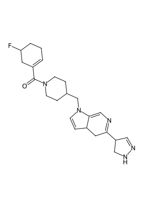 O=C(C1=CCCC(F)C1)N1CCC(CN2C=CC3CC(C4C=NNC4)=NC=C32)CC1